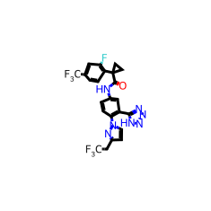 O=C(Nc1ccc(-n2ccc(CC(F)(F)F)n2)c(-c2nnn[nH]2)c1)C1(c2ccc(C(F)(F)F)cc2F)CC1